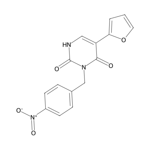 O=c1[nH]cc(-c2ccco2)c(=O)n1Cc1ccc([N+](=O)[O-])cc1